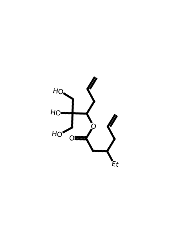 C=CCC(CC)CC(=O)OC(CC=C)C(O)(CO)CO